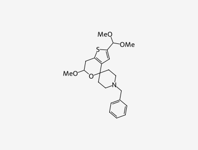 COC1Cc2sc(C(OC)OC)cc2C2(CCN(Cc3ccccc3)CC2)O1